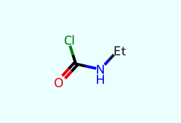 CCNC(=O)Cl